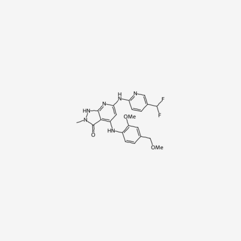 COCc1ccc(Nc2cc(Nc3ccc(C(F)F)cn3)nc3[nH]n(C)c(=O)c23)c(OC)c1